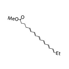 CC/C=C/C=C/C=C/C=C/C=C/C=C/CCCC(=O)OC